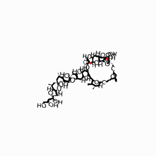 C=C1CC2CC[C@@]34OC5[C@H]6O[C@H](CC[C@@H]6O[C@H]6C(O3)[C@](O)(O[C@@H]56)[C@H]4O)CC(=O)O[C@@H]3[C@@H](C)[C@@H]4O[C@@H]5C[C@@]6(C[C@@H]7O[C@]8(C[C@H](C)[C@@H]9O[C@H]([C@@H](O)C[C@@H](O)CO)C[C@@H]9O8)C[C@H](C)[C@@H]7O6)OC5C[C@@H]4O[C@H]3CC3O[C@@H](CCC1O2)C[C@@H](C)C3=C